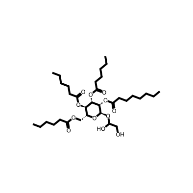 CCCCCCCC(=O)O[C@@H]1[C@@H](OC(O)CO)O[C@H](COC(=O)CCCCC)[C@@H](OC(=O)CCCCC)[C@@H]1OC(=O)CCCCC